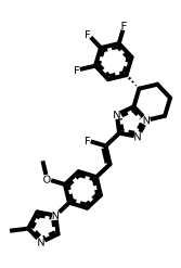 COc1cc(/C=C(\F)c2nc3n(n2)CCC[C@H]3c2cc(F)c(F)c(F)c2)ccc1-n1cnc(C)c1